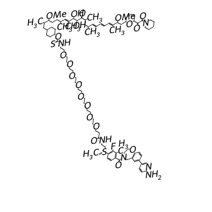 C/C=S(\CCNC(=O)CCOCCOCCOCCOCCOCCOCCOCCOCCNC(=S)OC1CCC(C[C@@H](C)C(CCC(C)/C=C(\C)C(O)[C@@H](O)C(=O)C(C)C[C@H](C)/C=C/C=C/C=C(\C)[C@H](CC2CCCC(C(=O)C(=O)N3CCCCC3)O2)OC)OC)CC1)c1ccc(C(=O)N2CCOc3ccc(-c4ccc(N)nc4)cc3C2)c(C)c1F